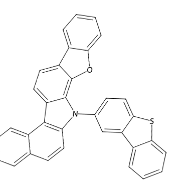 c1ccc2c(c1)ccc1c2c2ccc3c4ccccc4oc3c2n1-c1ccc2sc3ccccc3c2c1